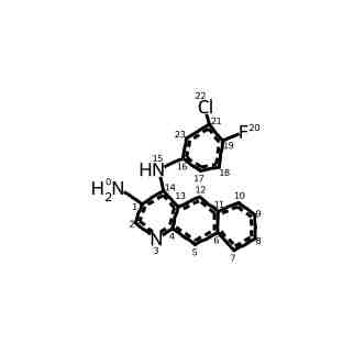 Nc1cnc2cc3ccccc3cc2c1Nc1ccc(F)c(Cl)c1